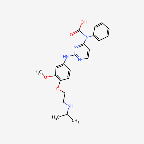 COc1cc(Nc2nccc(N(C(=O)O)c3ccccc3)n2)ccc1OCCNC(C)C